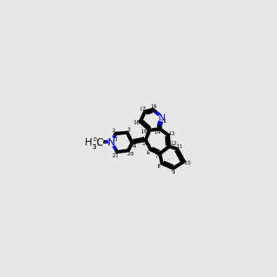 CN1CCC(=C2C=c3ccccc3=Cc3ncccc32)CC1